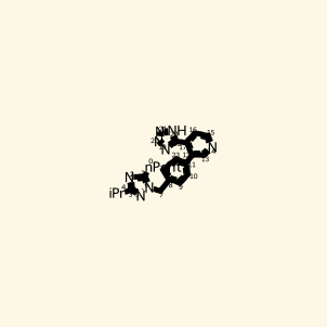 CCCCCc1nc(C(C)C)nn1Cc1ccc(-c2cnccc2-c2nnn[nH]2)cc1